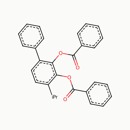 CC(C)c1ccc(-c2ccccc2)c(OC(=O)c2ccccc2)c1OC(=O)c1ccccc1